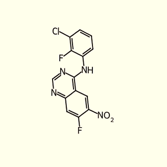 O=[N+]([O-])c1cc2c(Nc3cccc(Cl)c3F)ncnc2cc1F